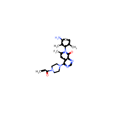 C=CC(=O)N1CCN(c2ncnc3c(=O)n(-c4c(C)ccc(N)c4C)c(C(F)(F)F)cc23)CC1